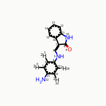 [2H]c1c([2H])c(NC=C2C(=O)Nc3ccccc32)c([2H])c([2H])c1N